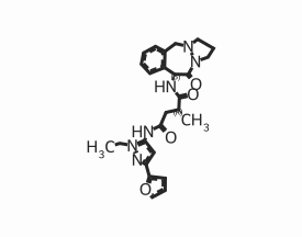 CCn1nc(-c2ccco2)cc1NC(=O)C[C@@H](C)C(=O)N[C@@H]1C(=O)N2CCCN2Cc2ccccc21